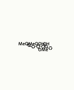 COCOCc1ccc(-c2cc(OC)c(-c3ccc(OCc4ccccc4)c(O)c3)c(O)c2OC)cc1